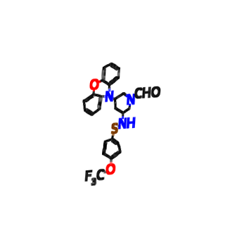 O=CN1CC(NSc2ccc(OC(F)(F)F)cc2)CC(N2c3ccccc3Oc3ccccc32)C1